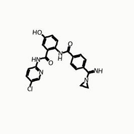 N=C(c1ccc(C(=O)Nc2ccc(O)cc2C(=O)Nc2ccc(Cl)cn2)cc1)N1CC1